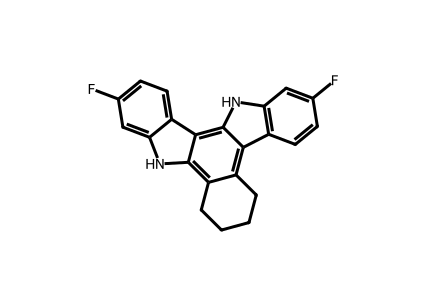 Fc1ccc2c(c1)[nH]c1c2c2c(c3[nH]c4cc(F)ccc4c31)CCCC2